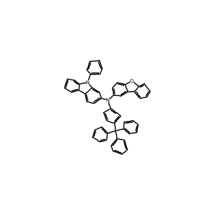 c1ccc(-n2c3ccccc3c3ccc(N(c4ccc(C(c5ccccc5)(c5ccccc5)c5ccccc5)cc4)c4ccc5oc6ccccc6c5c4)cc32)cc1